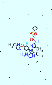 C=Cc1c(-c2ncc(NC(=O)CCS(=O)(=O)c3ccccc3)cc2C)n(-c2ccc(Oc3nccc(C)n3)c(F)c2)c2c(N)ncnc12